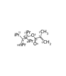 C=C(C)C(=O)O[Si](C(C)C)(C(C)C)C(CCC)C(C)C